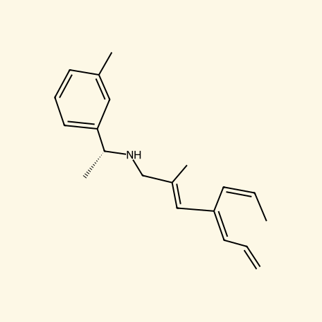 C=C/C=C(\C=C/C)/C=C(\C)CN[C@H](C)c1cccc(C)c1